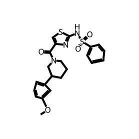 COc1cccc(C2CCCN(C(=O)c3csc(NS(=O)(=O)c4ccccc4)n3)C2)c1